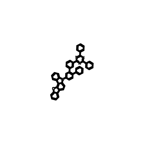 c1ccc(-c2nc(-c3ccccc3)nc(-c3cccc(-c4cc(-n5c6ccccc6c6c7oc8ccccc8c7ccc65)ccc4-c4ccccc4)c3)n2)cc1